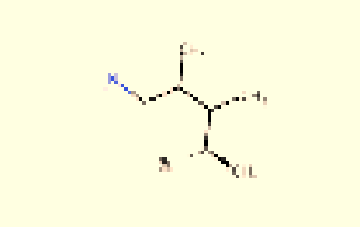 CC[C@@H](C)[C@H](C)C(C)C(C)CN